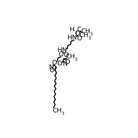 CCCCCCCCCCCCCCCc1cc(OC(CCOC(=O)NCCCCCNC(=O)OC(C)(C)C)Oc2cc(C)on2)no1